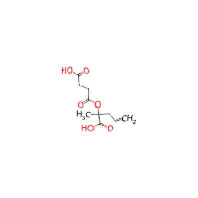 C=CCC(C)(OC(=O)CCC(=O)O)C(=O)O